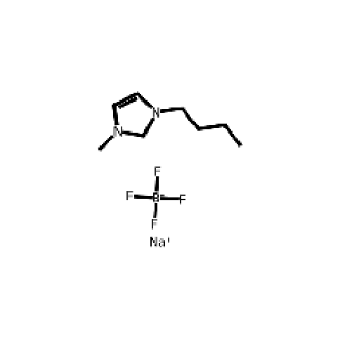 CCCCN1C=CN(C)C1.F[B-](F)(F)F.[Na+]